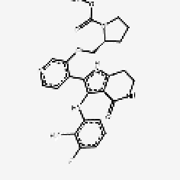 Cc1c(F)cccc1Nc1c(-c2ccncc2OC[C@@H]2CCCN2C(=O)OC(C)(C)C)[nH]c2c1C(=O)NCC2